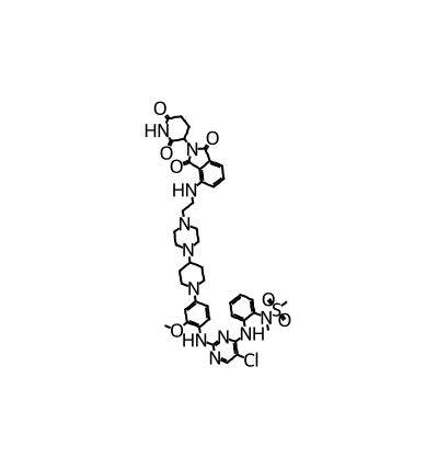 COc1cc(N2CCC(N3CCN(CCNc4cccc5c4C(=O)N(C4CCC(=O)NC4=O)C5=O)CC3)CC2)ccc1Nc1ncc(Cl)c(Nc2ccccc2N(C)S(C)(=O)=O)n1